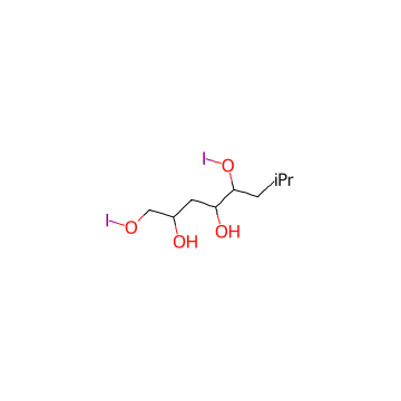 CC(C)CC(OI)C(O)CC(O)COI